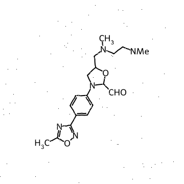 CNCCN(C)CC1CN(c2ccc(-c3noc(C)n3)cc2)C(C=O)O1